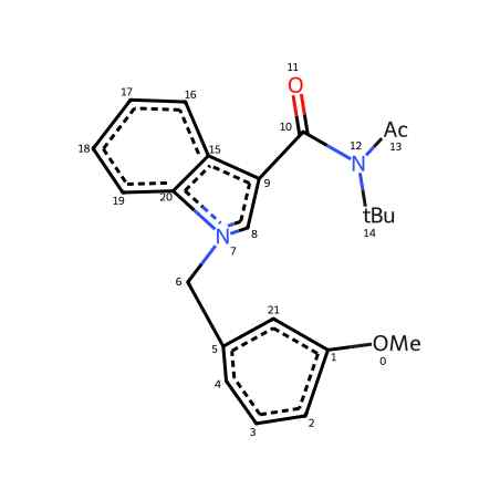 COc1cccc(Cn2cc(C(=O)N(C(C)=O)C(C)(C)C)c3ccccc32)c1